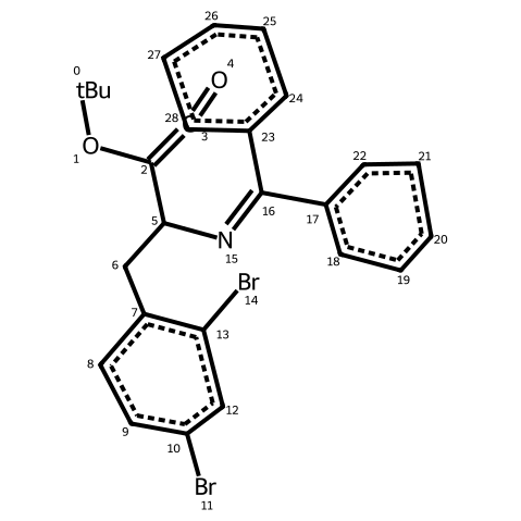 CC(C)(C)OC(=C=O)C(Cc1ccc(Br)cc1Br)N=C(c1ccccc1)c1ccccc1